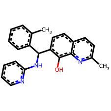 Cc1ccc2ccc(C(Nc3ccccn3)c3ccccc3C)c(O)c2n1